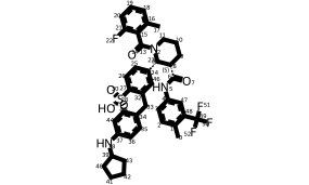 Cc1ccc(NC(=O)[C@H]2CCCN(C(=O)c3c(C)cccc3F)[C@H]2c2ccc(S(=O)(=O)O)c(Cc3ccc(NC4CCCC4)cc3)c2)cc1C(F)(F)F